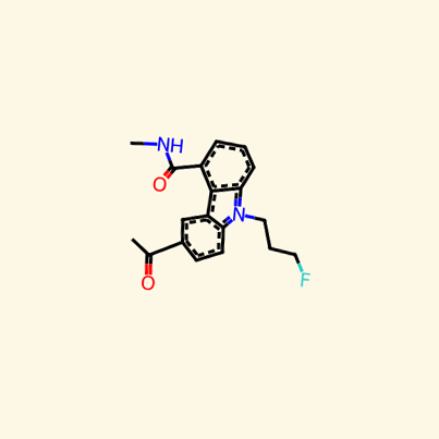 CNC(=O)c1cccc2c1c1cc(C(C)=O)ccc1n2CCCF